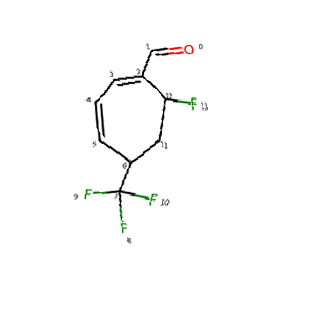 O=CC1=CC=CC(C(F)(F)F)CC1F